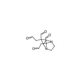 O=CCC1(C=O)C2C1N1CCN2C1(C=O)CC=O